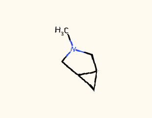 CN1C[C]2CC2C1